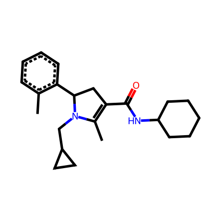 CC1=C(C(=O)NC2CCCCC2)CC(c2ccccc2C)N1CC1CC1